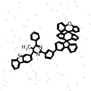 CC1C(c2ccccc2)=NC(c2cccc(-c3ccc4c(c3)-c3ccccc3C43c4ccccc4C4(c5ccccc5Oc5ccccc54)c4ccccc43)c2)=NC1c1ccc2c(c1)sc1ccccc12